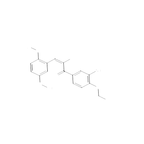 CCOc1ccc(C(=O)/C(Br)=C\c2cc(OC)ccc2OC)cc1N